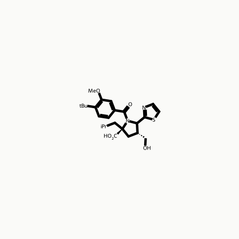 COc1cc(C(=O)N2C(c3nccs3)[C@H](CO)C[C@@]2(CC(C)C)C(=O)O)ccc1C(C)(C)C